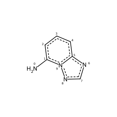 Nc1cccc2ncnn12